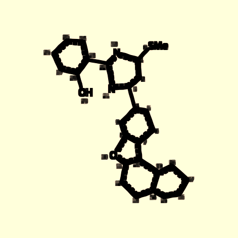 CSc1cc(-c2ccc3c(c2)oc2ccc4ccccc4c23)nc(-c2ccccc2O)n1